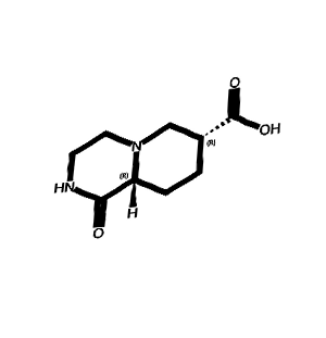 O=C(O)[C@@H]1CC[C@@H]2C(=O)NCCN2C1